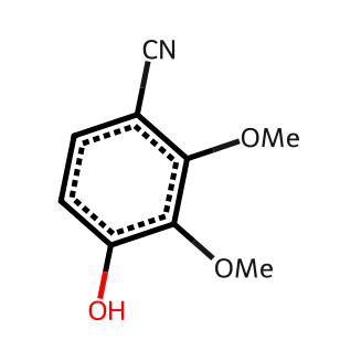 COc1c(O)ccc(C#N)c1OC